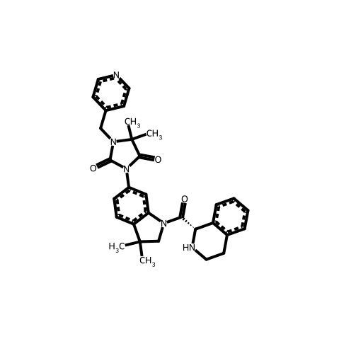 CC1(C)CN(C(=O)[C@H]2NCCc3ccccc32)c2cc(N3C(=O)N(Cc4ccncc4)C(C)(C)C3=O)ccc21